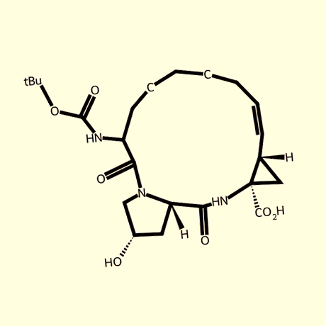 CC(C)(C)OC(=O)NC1CCCCCC=C[C@@H]2C[C@@]2(C(=O)O)NC(=O)[C@@H]2C[C@H](O)CN2C1=O